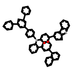 c1ccc(-c2cc(-c3ccccc3)cc(-c3ccc(N(c4ccc(-c5ccc6sc7ccccc7c6c5)cc4)c4ccccc4-c4cccc(-c5cccc6ccccc56)c4)cc3)c2)cc1